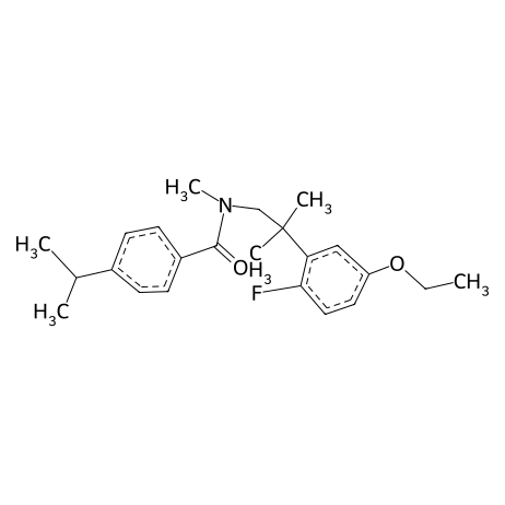 CCOc1ccc(F)c(C(C)(C)CN(C)C(=O)c2ccc(C(C)C)cc2)c1